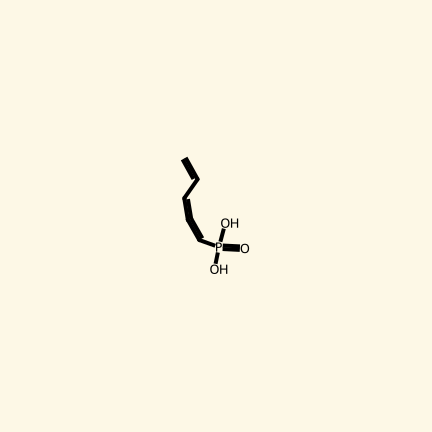 C=CC=C=CP(=O)(O)O